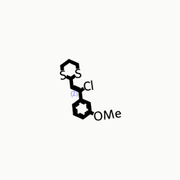 COc1cccc(/C(Cl)=C/C2SCCCS2)c1